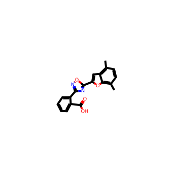 Cc1ccc(C)c2oc(-c3nc(-c4ccccc4C(=O)O)no3)cc12